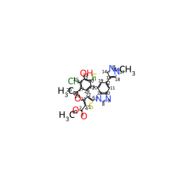 COC(=O)c1sc(-n2cnc3cc(-c4cnn(C)c4)ccc32)cc1O[C@H](C)c1ccc(F)c(O)c1Cl